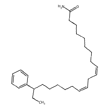 CCC(CCCCC/C=C\C/C=C\CCCCCCCC(N)=O)c1ccccc1